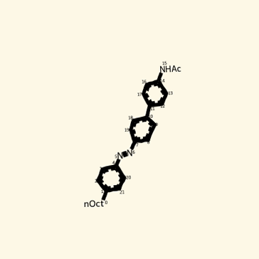 CCCCCCCCc1ccc(N=Nc2ccc(-c3ccc(NC(C)=O)cc3)cc2)cc1